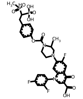 CC1CN(c2cc3c(cc2F)c(=O)c(C(=O)O)cn3-c2ccc(F)cc2F)CCN1C(=O)Oc1ccc(CC(P(C)(=O)O)P(=O)(O)O)cc1